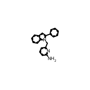 Nc1cccc(Cn2c(-c3ccccc3)cc3ccccc32)n1